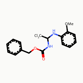 COc1ccccc1NC(NC(=O)OCc1ccccc1)C(Cl)(Cl)Cl